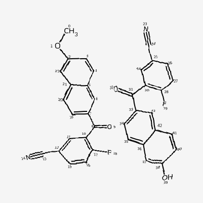 COc1ccc2cc(C(=O)c3cc(C#N)ccc3F)ccc2c1.N#Cc1ccc(F)c(C(=O)c2ccc3cc(O)ccc3c2)c1